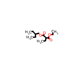 CCOC(=O)C(CC)C(=O)OCC(CC)CC